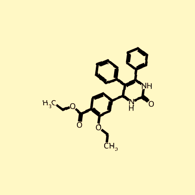 CCOC(=O)c1ccc(C2NC(=O)NC(c3ccccc3)=C2c2ccccc2)cc1OCC